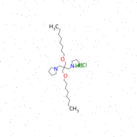 CCCCCCCCOCC(COCCCCCCCC)(CN1CCCC1)CN1CCCC1.Cl.Cl